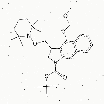 COCOc1c2c(cc3ccccc13)N(C(=O)OC(C)(C)C)CC2CON1C(C)(C)CCCC1(C)C